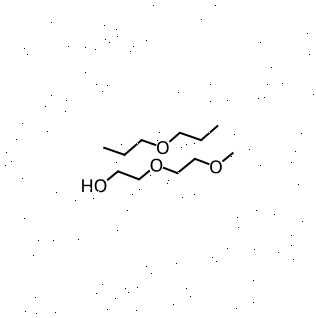 CCCOCCC.COCCOCCO